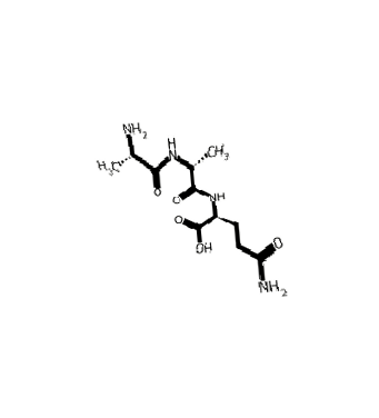 C[C@H](N)C(=O)N[C@H](C)C(=O)N[C@@H](CCC(N)=O)C(=O)O